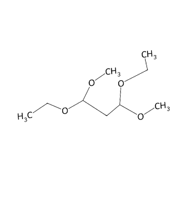 CCOC(CC(OC)OCC)OC